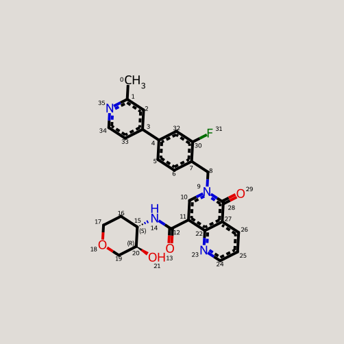 Cc1cc(-c2ccc(Cn3cc(C(=O)N[C@H]4CCOC[C@@H]4O)c4ncccc4c3=O)c(F)c2)ccn1